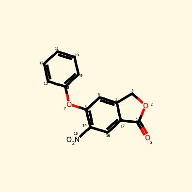 O=C1OCc2cc(Oc3ccccc3)c([N+](=O)[O-])cc21